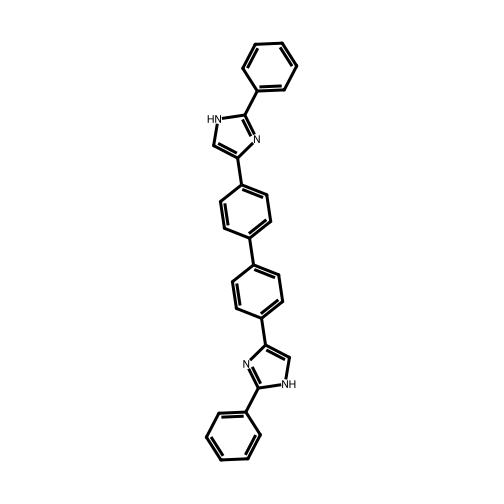 c1ccc(-c2nc(-c3ccc(-c4ccc(-c5c[nH]c(-c6ccccc6)n5)cc4)cc3)c[nH]2)cc1